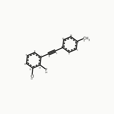 Cc1ccc(C#Cc2cccc(Cl)c2F)cc1